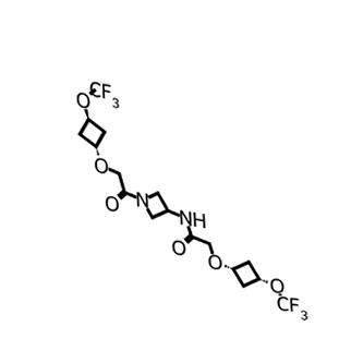 O=C(CO[C@H]1C[C@@H](OC(F)(F)F)C1)NC1CN(C(=O)CO[C@H]2C[C@H](OC(F)(F)F)C2)C1